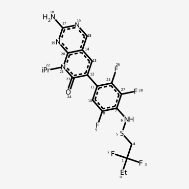 CCC(F)(F)CSNc1c(F)cc(-c2cc3cnc(N)nc3n(C(C)C)c2=O)c(F)c1F